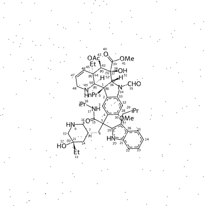 CCC[C@]12c3cc(C(C[C@H]4CNC[C@](O)(CC)C4)(C(=O)NC(C)C)c4[nH]c5ccccc5c4CC(C)C)c(OC)cc3N(C=O)[C@H]1[C@@](O)(C(=O)OC)[C@H](OC(C)=O)[C@]1(CC)C=CCN[C@@H]12